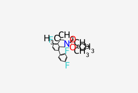 CC(C)(C)OC(=O)N1Cc2c(-c3ccc(F)cc3F)ccc(F)c2C(C)(C)C1